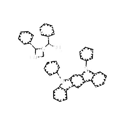 NC(c1ccccc1)N1C(c2ccccc2)N[C@H]1c1ccc(-n2c3ccccc3c3cc4c5ccccc5n(-c5ccccc5)c4cc32)cc1